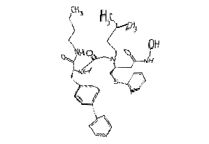 CCCCNC(=O)[C@H](Cc1ccc(-c2ccccc2)cc1)NC(=O)N(CCC(C)C)[C@H](CSc1ccccc1)CC(=O)NO